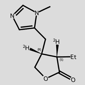 [2H][C@]1(Cc2cncn2C)COC(=O)[C@@]1([2H])CC